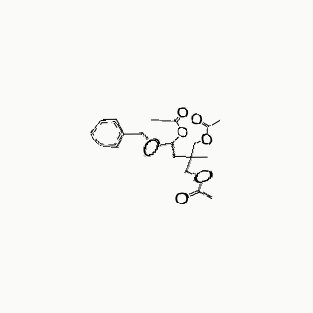 CC(=O)OCC(C)(COC(C)=O)CC(OCc1ccccc1)OC(C)=O